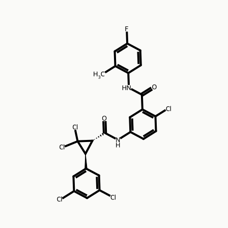 Cc1cc(F)ccc1NC(=O)c1cc(NC(=O)[C@@H]2[C@@H](c3cc(Cl)cc(Cl)c3)C2(Cl)Cl)ccc1Cl